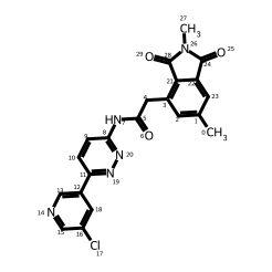 Cc1cc(CC(=O)Nc2ccc(-c3cncc(Cl)c3)nn2)c2c(c1)C(=O)N(C)C2=O